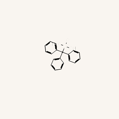 C[Si](C)([O])C(c1ccccc1)(c1ccccc1)c1ccccc1